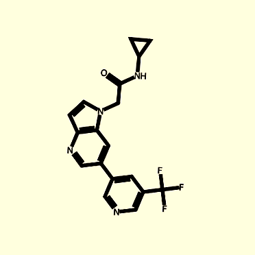 O=C(Cn1ccc2ncc(-c3cncc(C(F)(F)F)c3)cc21)NC1CC1